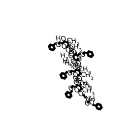 CC1[C@@H](OP(C)(=O)O[C@@H]2C(COCc3ccccc3)O[C@H](OP(C)(=O)O[C@@H]3C(COCc4ccccc4)O[C@H](OP(C)(=O)O[C@@H]4C(COCc5ccccc5)O[C@H](OCCNC(=O)OCc5ccccc5)C(C)[C@H]4C)C(C)[C@H]3C)C(C)[C@H]2C)OC(COCc2ccccc2)[C@@H](O)[C@@H]1C